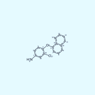 Nc1ccc(Oc2cccc3cccnc23)c(Cl)c1